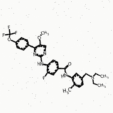 CCN(CC)Cc1ccc(C)c(NC(=O)c2ccc(Nc3ncc(OC)c(-c4ccc(OC(F)(F)F)cc4)n3)c(F)c2)c1